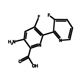 Nc1cc(F)c(-c2ncccc2F)nc1C(=O)O